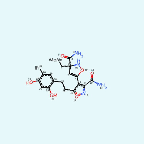 CNCC1(C(N)=O)C=C(c2c(C(N)=O)noc2CCc2cc(C(C)C)c(O)cc2O)ON1